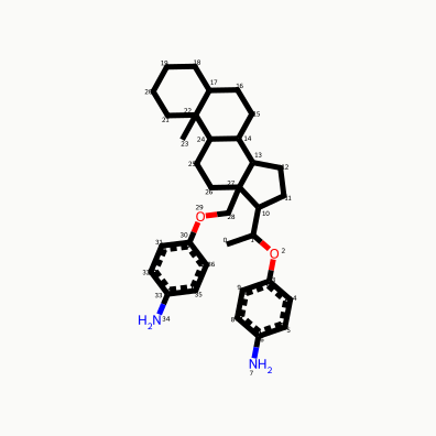 CC(Oc1ccc(N)cc1)C1CCC2C3CCC4CCCCC4(C)C3CCC12COc1ccc(N)cc1